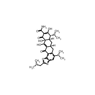 CN(C)Cc1nc2cc(N(C)C)c3c(c2o1)C(=O)C1=C(O)[C@]2(O)C(=O)C(C(N)=O)=C(O)[C@@H](N(C)C)[C@@H]2C[C@@H]1C3